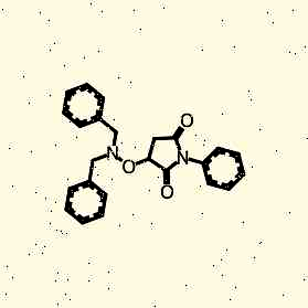 O=C1CC(ON(Cc2ccccc2)Cc2ccccc2)C(=O)N1c1ccccc1